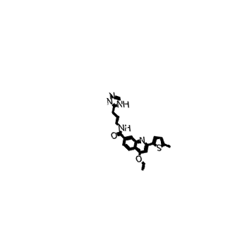 CCOc1cc(-c2ccc(C)s2)nc2cc(C(=O)NCCCc3nnc[nH]3)ccc12